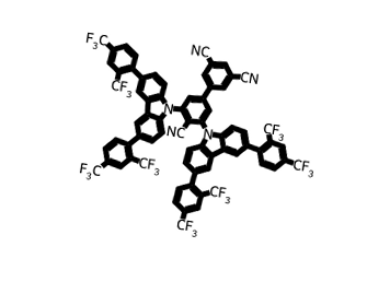 N#Cc1cc(C#N)cc(-c2cc(-n3c4ccc(-c5ccc(C(F)(F)F)cc5C(F)(F)F)cc4c4cc(-c5ccc(C(F)(F)F)cc5C(F)(F)F)ccc43)c(C#N)c(-n3c4ccc(-c5ccc(C(F)(F)F)cc5C(F)(F)F)cc4c4cc(-c5ccc(C(F)(F)F)cc5C(F)(F)F)ccc43)c2)c1